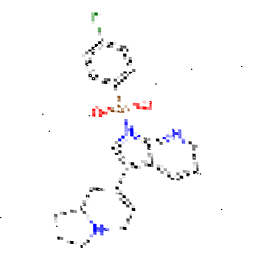 O=S(=O)(c1ccc(F)cc1)n1cc(C2=CCN3CCCC3C2)c2cccnc21